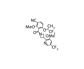 COc1cc(C(F)(F)F)cnc1C1CN(C(=O)c2c(OC(C)C(F)(F)F)ccc(C#N)c2OC)C1